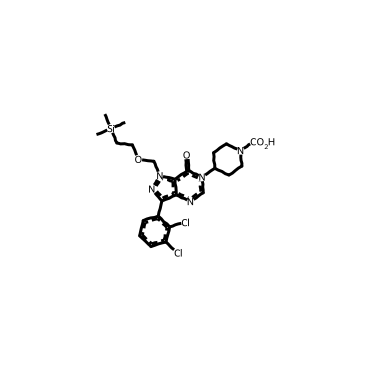 C[Si](C)(C)CCOCn1nc(-c2cccc(Cl)c2Cl)c2ncn(C3CCN(C(=O)O)CC3)c(=O)c21